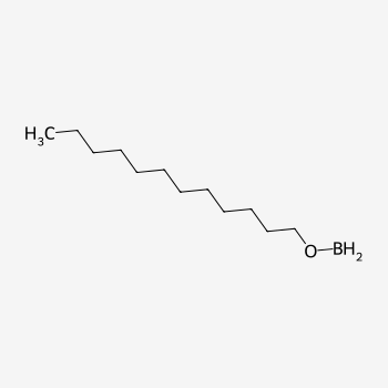 BOCCCCCCCCCCCC